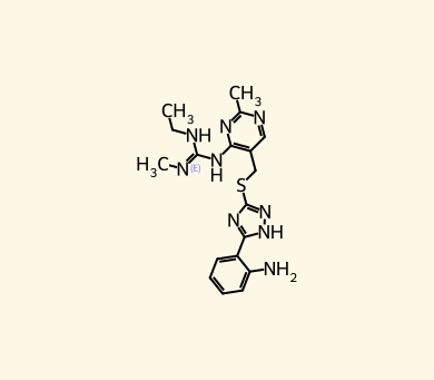 CCN/C(=N\C)Nc1nc(C)ncc1CSc1n[nH]c(-c2ccccc2N)n1